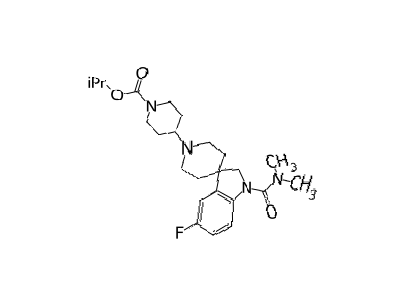 CC(C)OC(=O)N1CCC(N2CCC3(CC2)CN(C(=O)N(C)C)c2ccc(F)cc23)CC1